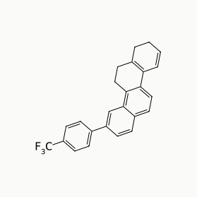 FC(F)(F)c1ccc(-c2ccc3ccc4c(c3c2)CCC2=C4C=CCC2)cc1